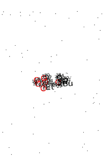 CCC(C(=O)C(C)(C)[C@@H]1CCOC(C)(C)O1)[C@@H](OC1CCCCO1)[C@@H](C)CCCC(C)O[Si](c1ccccc1)(c1ccccc1)C(C)(C)C